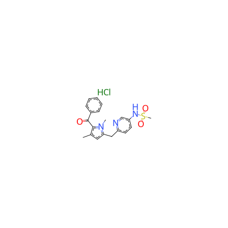 Cc1cc(Cc2ccc(NS(C)(=O)=O)cn2)n(C)c1C(=O)c1ccccc1.Cl